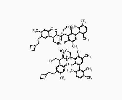 CCOC(=O)C[C@H](NC(=O)C(CC(C)C)n1cc(CCN2CCC2)c(C(F)(F)F)cc1=O)c1c(F)c(C)cc(-c2c(C)ccc(C(F)(F)F)c2C)c1F.Cc1cc(-c2c(C)ccc(C(F)(F)F)c2C)c(F)c([C@H](CC(=O)O)NC(=O)C(CC(C)C)n2cc(CCN3CCC3)c(C(F)(F)F)cc2=O)c1F